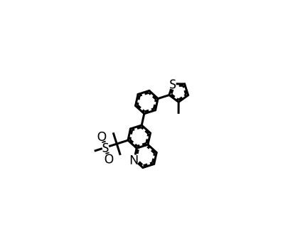 Cc1ccsc1-c1cccc(-c2cc(C(C)(C)S(C)(=O)=O)c3ncccc3c2)c1